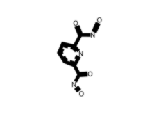 O=NC(=O)c1cccc(C(=O)N=O)n1